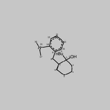 CCCCC1(O)CCCCC1Cc1ccccc1N(C)C